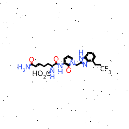 NC(=O)C=CCCC(NC(=O)O)C(=O)Nc1cccn(Cc2nc3c(CCC(F)(F)F)cccc3[nH]2)c1=O